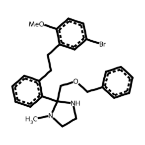 COc1ccc(Br)cc1CCc1ccccc1C1(COCc2ccccc2)NCCN1C